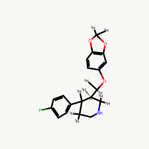 [2H]C1([2H])Oc2ccc(OC([2H])([2H])[C@@]3([2H])C([2H])([2H])NCC([2H])([2H])C3([2H])c3ccc(F)cc3)cc2O1